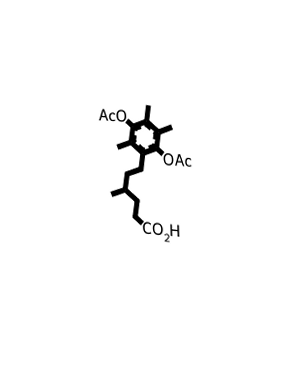 CC(=O)Oc1c(C)c(C)c(OC(C)=O)c(CCC(C)CCC(=O)O)c1C